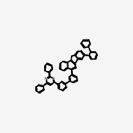 c1ccc(-c2cc(-c3cccc(-c4cccc(-c5cc6c(c7ccccc57)Cc5ccc(-c7ccccc7-c7ccccc7)cc5-6)c4)c3)nc(-c3ccccc3)n2)cc1